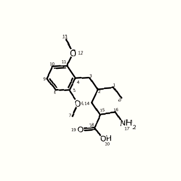 CCC(Cc1c(OC)cccc1OC)CC(CN)C(=O)O